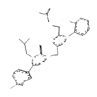 COc1ccccc1-n1nc(Cn2nc(-c3ccc(Cl)cc3)n(CC(O)C(F)(F)F)c2=O)nc1COC(N)=O